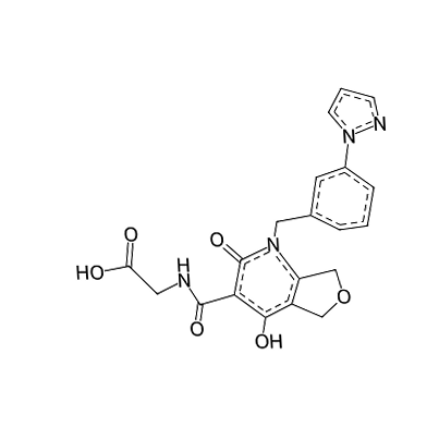 O=C(O)CNC(=O)c1c(O)c2c(n(Cc3cccc(-n4cccn4)c3)c1=O)COC2